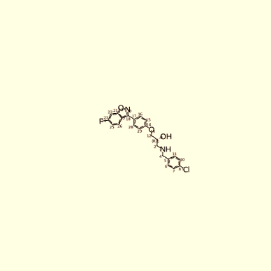 O[C@H](CNCc1ccc(Cl)cc1)COc1ccc(-c2noc3cc(F)ccc23)cc1